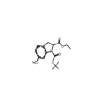 CCOC(=O)C1Cc2ccc(O)cc2N1C(=O)OC(C)(C)C